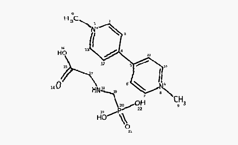 C[n+]1ccc(-c2cc[n+](C)cc2)cc1.O=C(O)CNCP(=O)(O)O